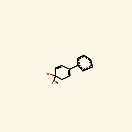 CCCC1(Br)C=CC(c2ccccc2)=CC1